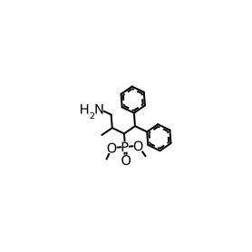 COP(=O)(OC)C(C(C)CN)C(c1ccccc1)c1ccccc1